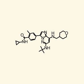 Cc1cc(-c2cnc3c(NCC4CCOCC4)cc(NC(C)(C)C)nn23)ccc1C(=O)NC1CC1